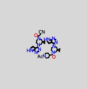 CC(=O)N1CCC(C(=O)N2CCN(c3ncnc4[nH]ccc34)CC3(CC3)C2)CC1.N#CCC(=O)N1CCN(c2ncnc3[nH]ccc23)CC2(CC2)C1